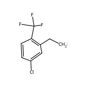 [CH2]Cc1cc(Cl)ccc1C(F)(F)F